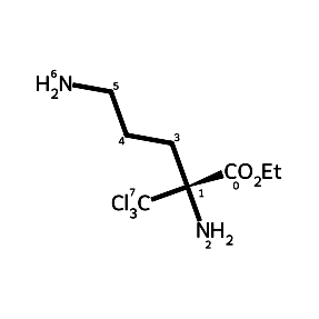 CCOC(=O)[C@](N)(CCCN)C(Cl)(Cl)Cl